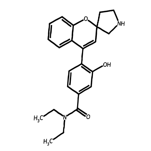 CCN(CC)C(=O)c1ccc(C2=CC3(CCNC3)Oc3ccccc32)c(O)c1